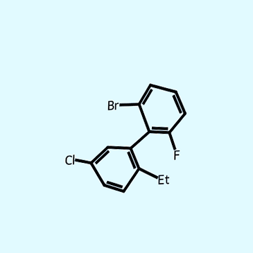 CCc1ccc(Cl)cc1-c1c(F)cccc1Br